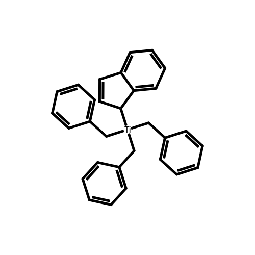 C1=C[CH]([Ti]([CH2]c2ccccc2)([CH2]c2ccccc2)[CH2]c2ccccc2)c2ccccc21